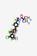 CC(C)C(=O)N1CC(F)(c2ccc(C3=COC(c4cc(Cl)c(F)c(Cl)c4)(C(F)(F)F)C3)cc2)C1